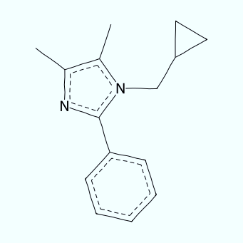 Cc1nc(-c2ccccc2)n(CC2CC2)c1C